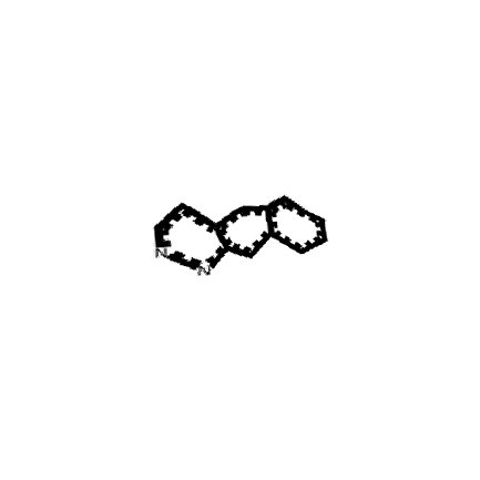 [c]1ccc2cc3nnccc3cc2c1